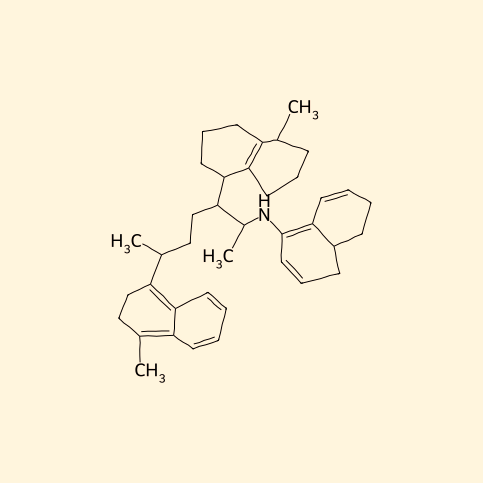 CC1=c2ccccc2=C(C(C)CCC(C(C)NC2=C3C=CCCC3CC=C2)C2CCCC3=C2CCCC3C)CC1